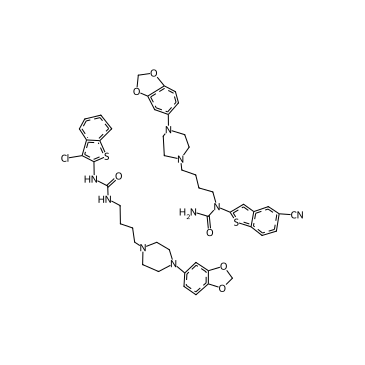 N#Cc1ccc2sc(N(CCCCN3CCN(c4ccc5c(c4)OCO5)CC3)C(N)=O)cc2c1.O=C(NCCCCN1CCN(c2ccc3c(c2)OCO3)CC1)Nc1sc2ccccc2c1Cl